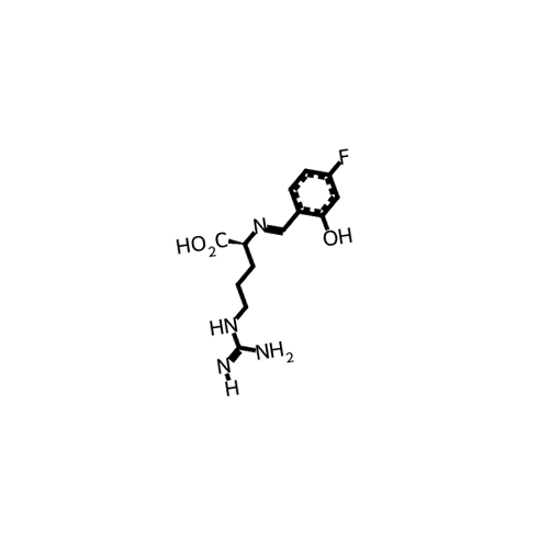 [H]/N=C(\N)NCCC[C@H](N=Cc1ccc(F)cc1O)C(=O)O